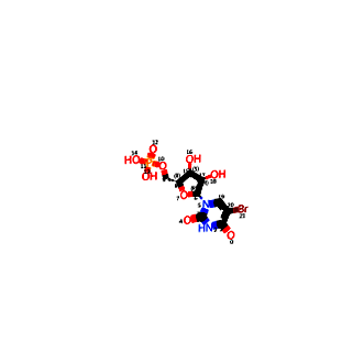 O=c1[nH]c(=O)n([C@@H]2O[C@H](COP(=O)(O)O)[C@@H](O)[C@H]2O)cc1Br